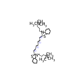 C[N+](C)(C)CCCN1/C(=C/C=C/C=C/C=C/c2sc3ccccc3[n+]2CCC[N+](C)(C)C)Sc2ccccc21